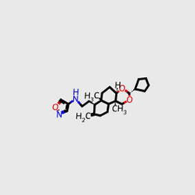 C=C1CCC2[C@]3(C)CO[C@@H](C4CCCC4)O[C@@H]3CC[C@@]2(C)[C@@H]1CCNc1cnoc1